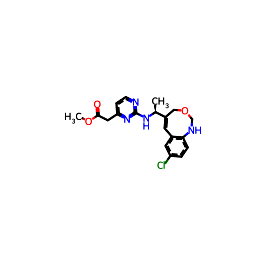 COC(=O)Cc1ccnc(N[C@@H](C)/C2=C/c3cc(Cl)ccc3NCOC2)n1